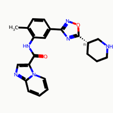 Cc1ccc(-c2noc([C@H]3CCCNC3)n2)cc1NC(=O)c1cnc2ccccn12